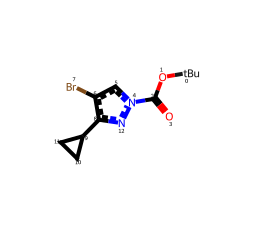 CC(C)(C)OC(=O)n1cc(Br)c(C2CC2)n1